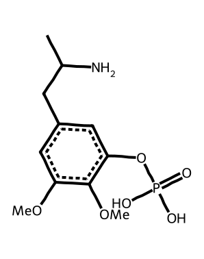 COc1cc(CC(C)N)cc(OP(=O)(O)O)c1OC